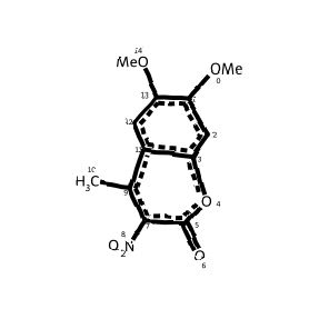 COc1cc2oc(=O)c([N+](=O)[O-])c(C)c2cc1OC